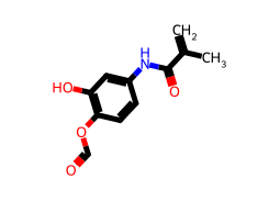 C=C(C)C(=O)Nc1ccc(OC=O)c(O)c1